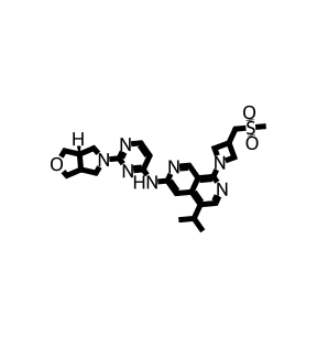 CC(C)c1cnc(N2CC(CS(C)(=O)=O)C2)c2cnc(Nc3ccnc(N4CC5COC[C@@H]5C4)n3)cc12